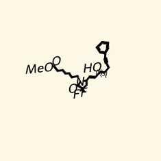 COC(=O)CCCCCCN1C(=O)C(F)(F)CC1C=C[C@@H](O)[C@@H](C)CC#Cc1ccccc1